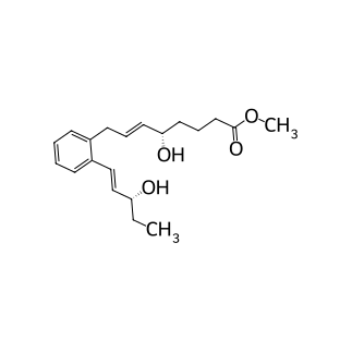 CC[C@@H](O)/C=C/c1ccccc1C/C=C/[C@@H](O)CCCC(=O)OC